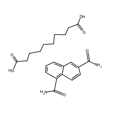 NC(=O)c1ccc2c(C(N)=O)cccc2c1.O=C(O)CCCCCCCCC(=O)O